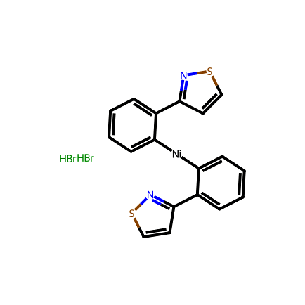 Br.Br.c1ccc(-c2ccsn2)[c]([Ni][c]2ccccc2-c2ccsn2)c1